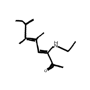 CCN/C(=C\C(C)=C(/C)C(C)C)C(C)=O